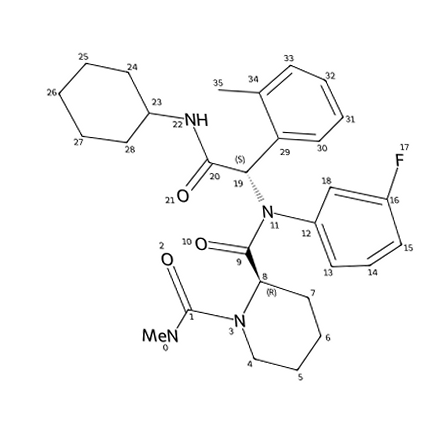 CNC(=O)N1CCCC[C@@H]1C(=O)N(c1cccc(F)c1)[C@H](C(=O)NC1CCCCC1)c1ccccc1C